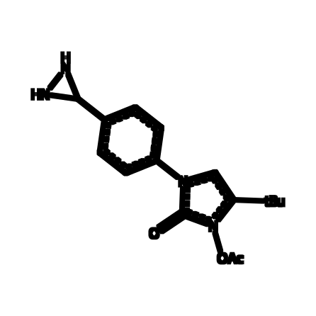 CC(=O)On1c(C(C)(C)C)cn(-c2ccc(C3NN3)cc2)c1=O